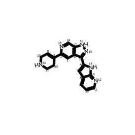 C1=C(c2cc3c(-c4cc5cccnc5[nH]4)n[nH]c3cn2)CCNC1